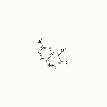 Nc1ccc(Br)cc1C(=O)CCl